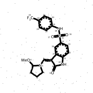 COC1CCCN1C=C1C(=O)Nc2ccc(S(=O)(=O)Nc3ccc(C(F)(F)F)cc3)cc21